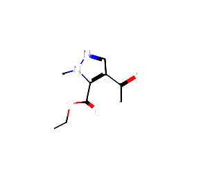 CCOC(=O)c1c(C(C)=O)cnn1C